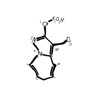 O=C(O)Oc1nn2ccccc2c1Cl